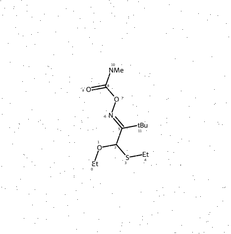 CCOC(SCC)C(=NOC(=O)NC)C(C)(C)C